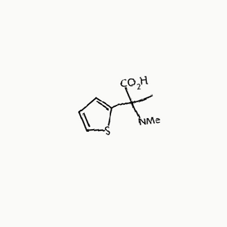 CNC(C)(C(=O)O)c1cccs1